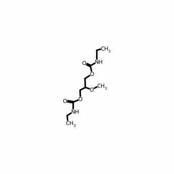 CCNC(=O)OCC(COC(=O)NCC)OC